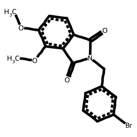 COc1ccc2c(c1OC)C(=O)N(Cc1cccc(Br)c1)C2=O